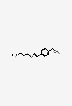 CCCCOC=Cc1ccc(CC)cc1